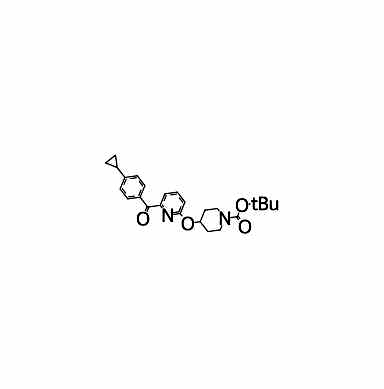 CC(C)(C)OC(=O)N1CCC(Oc2cccc(C(=O)c3ccc(C4CC4)cc3)n2)CC1